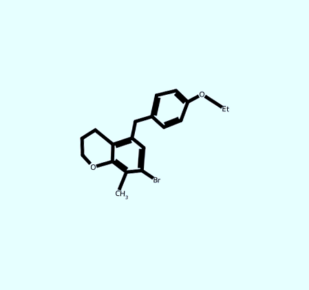 CCOc1ccc(Cc2cc(Br)c(C)c3c2CCCO3)cc1